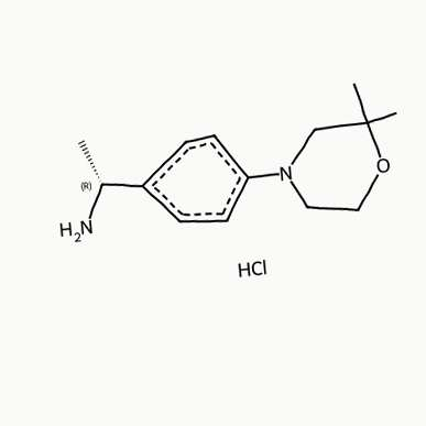 C[C@@H](N)c1ccc(N2CCOC(C)(C)C2)cc1.Cl